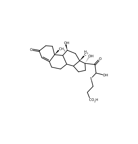 C[C@]12CCC(=O)C=C1CCC1C2[C@@H](O)C[C@@]2(C)C1CC[C@]2(O)C(=O)C(O)SCCC(=O)O